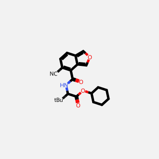 CC(C)(C)C(NC(=O)c1c(C#N)ccc2cocc12)C(=O)OC1CCCCC1